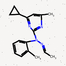 CC=NN(c1nc(C)cc(C2CC2)n1)c1ccccc1C